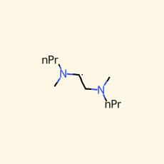 CCCN(C)[CH]CN(C)CCC